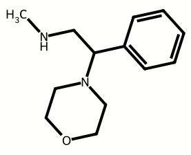 CNCC(c1ccccc1)N1CCOCC1